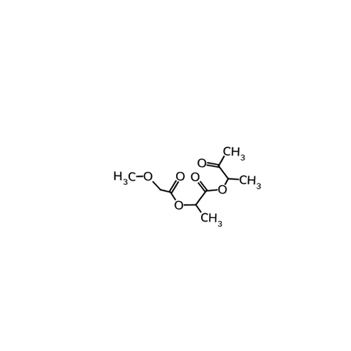 COCC(=O)OC(C)C(=O)OC(C)C(C)=O